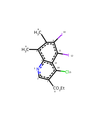 CCOC(=O)c1cnc2c(C)c(C)c(I)c(I)c2c1Cl